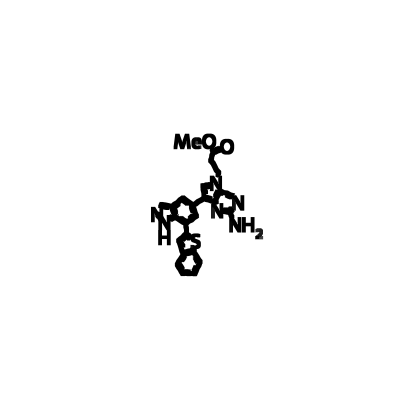 COC(=O)CCn1cc(-c2cc(-c3cc4ccccc4s3)c3[nH]ncc3c2)c2nc(N)ncc21